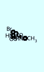 Cc1ccc(NC(=O)CC2CCc3cc(Br)cc4[nH]c(=O)c(=O)n2c34)cc1